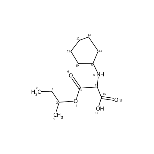 CCC(C)OC(=O)C(NC1CCCCC1)C(=O)O